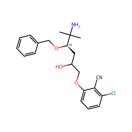 CC(C)(N)[C@@H](CC(O)COc1cccc(Cl)c1C#N)OCc1ccccc1